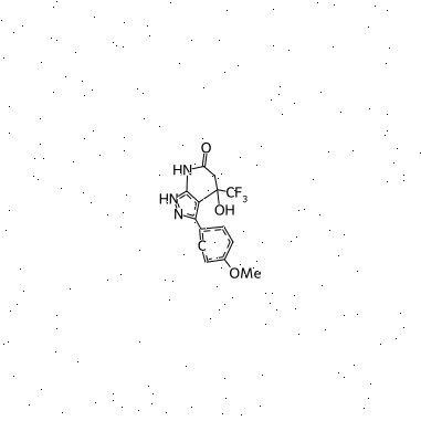 COc1ccc(-c2n[nH]c3c2C(O)(C(F)(F)F)CC(=O)N3)cc1